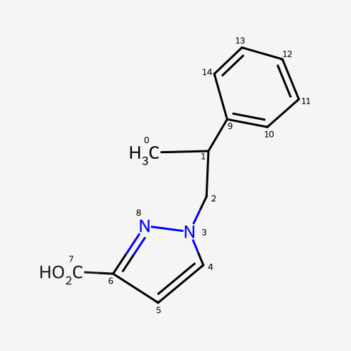 CC(Cn1ccc(C(=O)O)n1)c1ccccc1